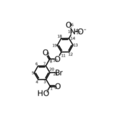 O=C(O)c1cccc(C(=O)Oc2ccc([N+](=O)[O-])cc2)c1Br